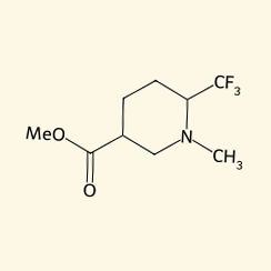 COC(=O)C1CCC(C(F)(F)F)N(C)C1